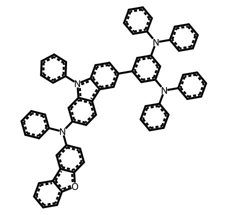 c1ccc(N(c2ccccc2)c2cc(-c3ccc4c(c3)c3ccc(N(c5ccccc5)c5ccc6oc7ccccc7c6c5)cc3n4-c3ccccc3)cc(N(c3ccccc3)c3ccccc3)c2)cc1